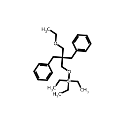 CCOCC(CO[Si](CC)(CC)CC)(Cc1ccccc1)Cc1ccccc1